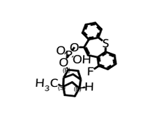 C[C@]12CC[C@H](C1)C1CC2[C@H](OP(=O)(O)OC2=Cc3c(F)cccc3Sc3ccccc32)C1